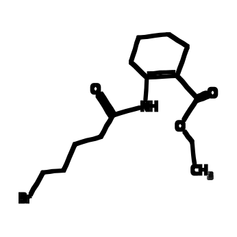 CCOC(=O)C1=C(NC(=O)CCCCBr)CCCC1